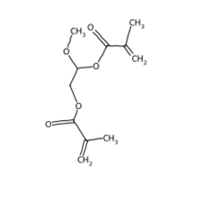 C=C(C)C(=O)OCC(OC)OC(=O)C(=C)C